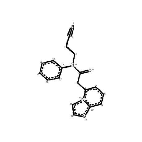 N#CCCN(C(=O)Cc1cccc2nccn12)c1ccccc1